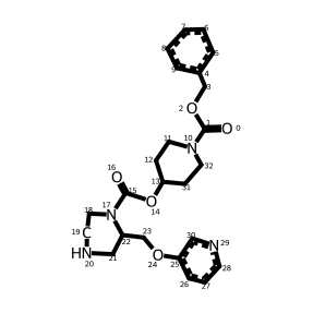 O=C(OCc1ccccc1)N1CCC(OC(=O)N2CCNCC2COc2cccnc2)CC1